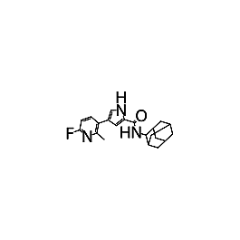 Cc1nc(F)ccc1-c1c[nH]c(C(=O)NC2C3CC4CC(C3)CC2C4)c1